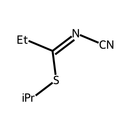 CC/C(=N/C#N)SC(C)C